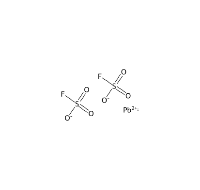 O=S(=O)([O-])F.O=S(=O)([O-])F.[Pb+2]